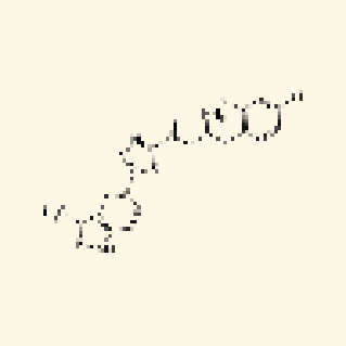 Cc1n[nH]c2ccc(-c3nnc(NCC(N)Cc4ccc(Cl)cc4Cl)s3)cc12